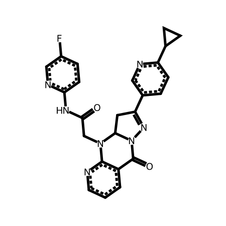 O=C(CN1c2ncccc2C(=O)N2N=C(c3ccc(C4CC4)nc3)CC21)Nc1ccc(F)cn1